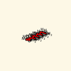 COc1ccc(NC(=O)[C@H](CCCNC(=N)N)NC(=O)c2cc(NC(=O)[C@H](CCCNC(=N)N)NC(=O)c3cc(NC(=O)[C@H](CCCNC(=N)N)NC(=O)c4cc(NC(=O)[C@@H](N)CCCNC(=N)N)ccc4OC)ccc3OC)ccc2OCC(=O)O)cc1C(=O)N[C@@H](Cc1c[nH]c2ccccc12)C(N)=O